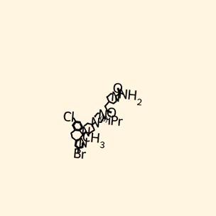 CC(C)[C@H]1CN(C2CCN(C3(C)c4ccc(Cl)cc4CCc4cc(Br)cnc43)CC2)CCN1C(=O)CC1CCN(C(N)=O)CC1